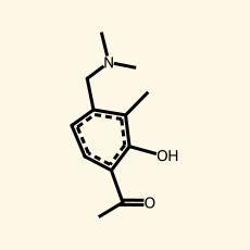 CC(=O)c1ccc(CN(C)C)c(C)c1O